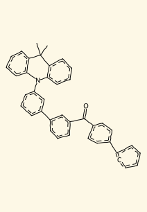 CC1(C)c2ccccc2N(c2cccc(-c3cccc(C(=O)c4ccc(-c5ccccc5)cc4)c3)c2)c2ccccc21